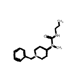 CCCNC(=O)N(C)C1CCN(Cc2ccccc2)CC1